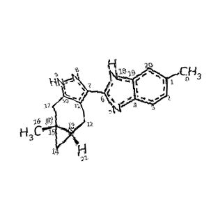 Cc1ccc2nc(-c3n[nH]c4c3C[C@@H]3C[C@]3(C)C4)[nH]c2c1